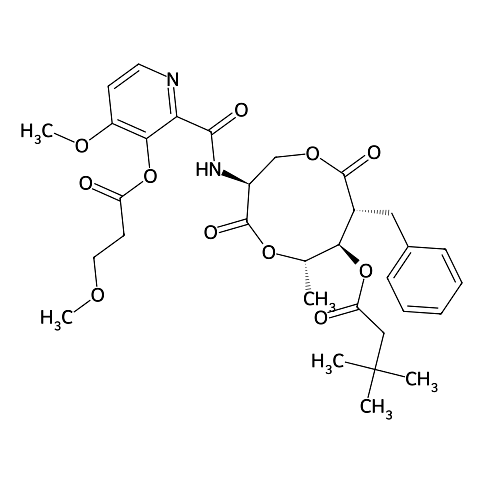 COCCC(=O)Oc1c(OC)ccnc1C(=O)N[C@H]1COC(=O)[C@H](Cc2ccccc2)[C@@H](OC(=O)CC(C)(C)C)[C@H](C)OC1=O